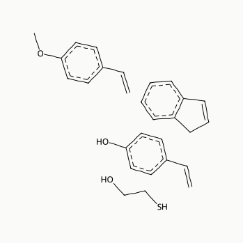 C1=Cc2ccccc2C1.C=Cc1ccc(O)cc1.C=Cc1ccc(OC)cc1.OCCS